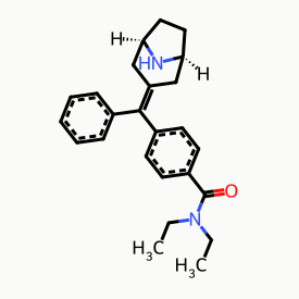 CCN(CC)C(=O)c1ccc(C(=C2C[C@H]3CC[C@@H](C2)N3)c2ccccc2)cc1